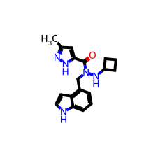 Cc1cc(C(=O)N(Cc2cccc3[nH]ccc23)NC2CCC2)[nH]n1